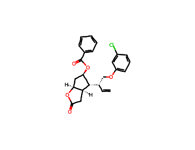 C=C[C@@H](COc1cccc(Cl)c1)[C@@H]1[C@H]2CC(=O)O[C@H]2C[C@H]1OC(=O)c1ccccc1